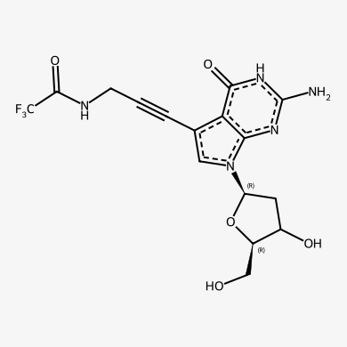 Nc1nc2c(c(C#CCNC(=O)C(F)(F)F)cn2[C@H]2CC(O)[C@@H](CO)O2)c(=O)[nH]1